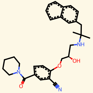 CC(C)(Cc1ccc2ccccc2c1)NC[C@@H](O)COc1ccc(C(=O)N2CCCCC2)cc1C#N